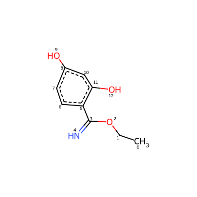 CCOC(=N)c1ccc(O)cc1O